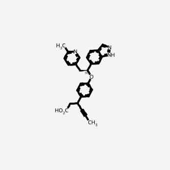 CC#CC(CC(=O)O)c1ccc(O[C@@H](Cc2ccc(C)nc2)c2ccc3cn[nH]c3c2)cc1